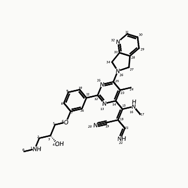 CNC[C@@H](O)COc1cccc(-c2nc(/C(NC)=C(\C#N)C=N)c(C)c(N3Cc4cccnc4C3)n2)c1